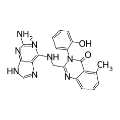 Cc1cccc2nc(CNc3nc(N)nc4[nH]cnc34)n(-c3ccccc3O)c(=O)c12